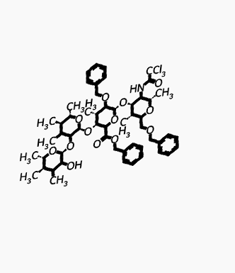 CC1C(O)[C@H](OC2C(C)[C@@H](C)[C@H](C)O[C@H]2O[C@H]2C(C(=O)OCc3ccccc3)O[C@@H](O[C@@H]3C(NC(=O)C(Cl)(Cl)Cl)[C@H](C)OC(COCc4ccccc4)[C@@H]3C)C(OCc3ccccc3)[C@H]2C)O[C@@H](C)[C@@H]1C